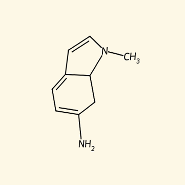 CN1C=CC2=CC=C(N)CC21